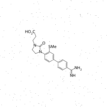 CSc1cc(-c2ccc(C(=N)N)cc2)ccc1N1CCN(CCC(=O)O)C1=O